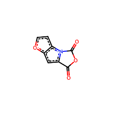 O=C1OC(=O)n2c1cc1occc12